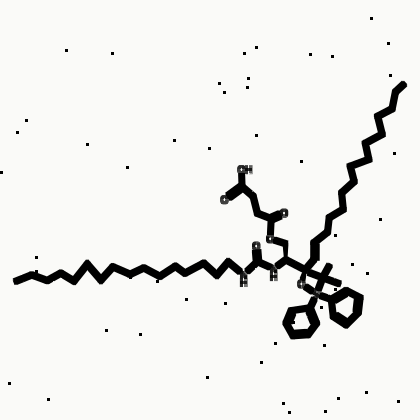 CCCCCCCCCCCCC/C=C/[C@@H](O[Si](c1ccccc1)(c1ccccc1)C(C)(C)C)[C@H](COC(=O)CCC(=O)O)NC(=O)NCCCCCCCCCCCCCCCC